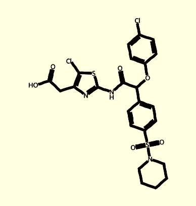 O=C(O)Cc1nc(NC(=O)C(Oc2ccc(Cl)cc2)c2ccc(S(=O)(=O)N3CCCCC3)cc2)sc1Cl